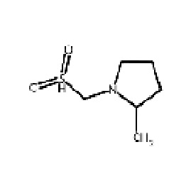 [CH2]C1CCCN1C[SH](=O)=O